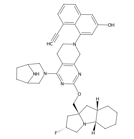 C#Cc1cccc2cc(O)cc(N3CCc4c(nc(OC[C@]56C[C@@H](F)CN5[C@H]5CCCC[C@H]5C6)nc4N4CC5CCC(C4)N5)C3)c12